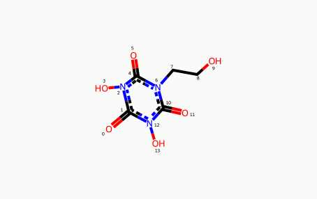 O=c1n(O)c(=O)n(CCO)c(=O)n1O